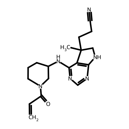 C=CC(=O)N1CCCC(Nc2ncnc3c2C(C)(CCC#N)CN3)C1